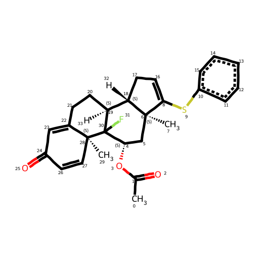 CC(=O)O[C@H]1C[C@]2(C)C(Sc3ccccc3)=CC[C@H]2[C@@H]2CCC3=CC(=O)C=C[C@]3(C)C12F